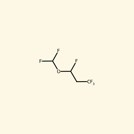 FC(F)OC(F)CC(F)(F)F